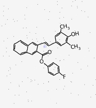 Cc1cc(/C=C/c2cc3ccccc3cc2C(=O)Oc2ccc(F)cc2)cc(C)c1O